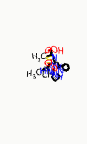 Cc1sc([C@@H](Cc2c[nH]c3ccccc23)NC(=O)[C@H](CC(C)C)NC(=O)N2CCCCCC2)nc1C(=O)O